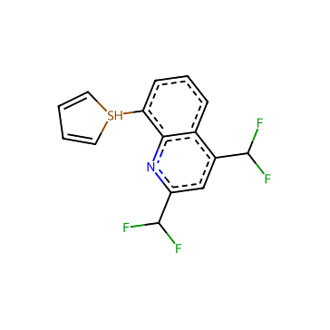 FC(F)c1cc(C(F)F)c2cccc([SH]3C=CC=C3)c2n1